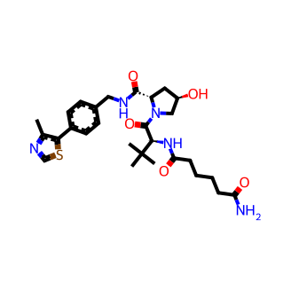 Cc1ncsc1-c1ccc(CNC(=O)[C@@H]2C[C@@H](O)CN2C(=O)[C@@H](NC(=O)CCCCC(N)=O)C(C)(C)C)cc1